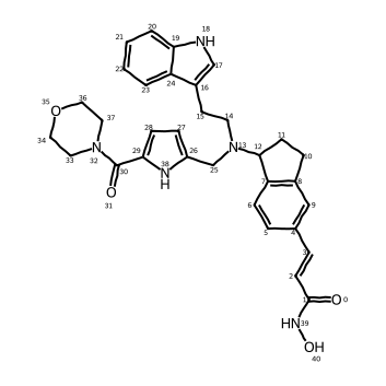 O=C(/C=C/c1ccc2c(c1)CCC2N(CCc1c[nH]c2ccccc12)Cc1ccc(C(=O)N2CCOCC2)[nH]1)NO